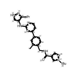 Cc1cc(-c2ccnc(Nc3c[nH]nc3C(C)C)n2)ccc1CNC(=O)c1cnn(C(C)(C)C)c1